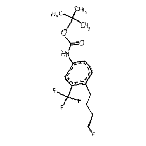 CC(C)(C)OC(=O)Nc1ccc(CCCCF)c(C(F)(F)F)c1